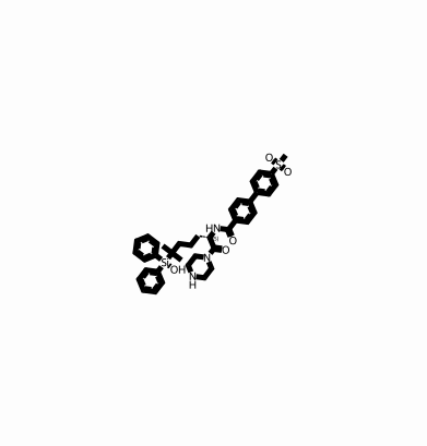 CC(C)(CCC[C@H](NC(=O)c1ccc(-c2ccc(S(C)(=O)=O)cc2)cc1)C(=O)N1CCNCC1)[Si](O)(c1ccccc1)c1ccccc1